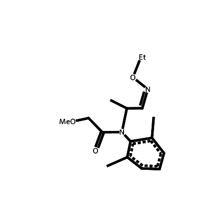 CCO/N=C\C(C)N(C(=O)COC)c1c(C)cccc1C